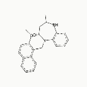 COc1ccc2ccccc2c1CN1C(=O)CC(C)Nc2ccccc21